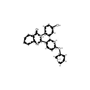 O=c1c2ccccc2nc(-c2ccc(Oc3ccccc3)nc2)n1-c1ccc(Cl)cc1